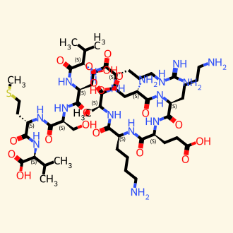 CSCC[C@H](NC(=O)[C@H](CO)NC(=O)[C@H](CC(=O)O)NC(=O)[C@@H](NC(=O)[C@H](CCCNC(=N)N)NC(=O)[C@H](C)NC(=O)[C@H](CCCCN)NC(=O)[C@H](CCC(=O)O)NC(=O)[C@H](CCCCN)NC(=O)[C@@H](N)CC(=O)O)C(C)C)C(=O)N[C@H](C(=O)O)C(C)C